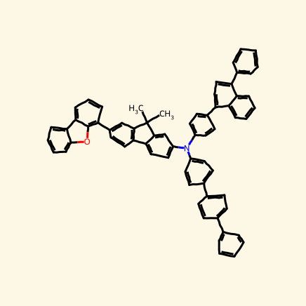 CC1(C)c2cc(-c3cccc4c3oc3ccccc34)ccc2-c2ccc(N(c3ccc(-c4ccc(-c5ccccc5)cc4)cc3)c3ccc(-c4ccc(-c5ccccc5)c5ccccc45)cc3)cc21